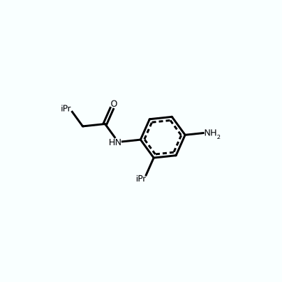 CC(C)CC(=O)Nc1ccc(N)cc1C(C)C